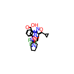 O=C(O)c1cc2nc(N3C4CCC3CC(OCc3c(-c5ccccc5OC(F)(F)F)noc3C3CC3)C4)ccn2n1